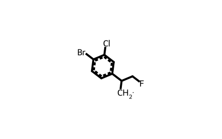 [CH2]C(CF)c1ccc(Br)c(Cl)c1